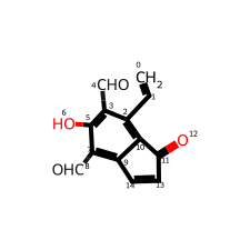 C=Cc1c(C=O)c(O)c(C=O)c2c1C(=O)C=C2